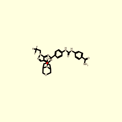 CN1CC2COCC(C1)N2c1nc(-c2ccc(NC(=O)Nc3ccc(C(N)=O)cc3)cc2)nc2c1cnn2CC(F)(F)F